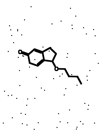 CCCCOC1CCC2=CC(=O)CC=C21